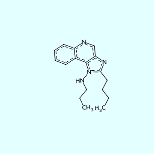 CCCCc1nc2cnc3ccccc3c2n1NCCC